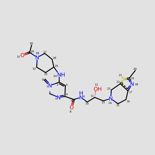 C=N/C(=C\C(=N/C)C(=O)NC[C@H](O)CN1CCc2nc(C)sc2C1)NC1CCN(C(C)=O)CC1